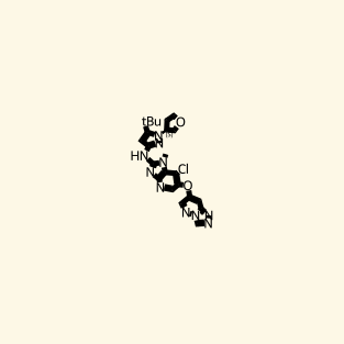 Cn1c(Nc2cc(C(C)(C)C)n([C@H]3CCOC3)n2)nc2ncc(Oc3cnn4cnnc4c3)c(Cl)c21